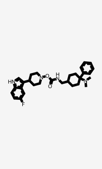 CN(C)C1(c2ccccc2)CCC(CNC(=O)ON2CCC(c3c[nH]c4ccc(F)cc34)CC2)CC1